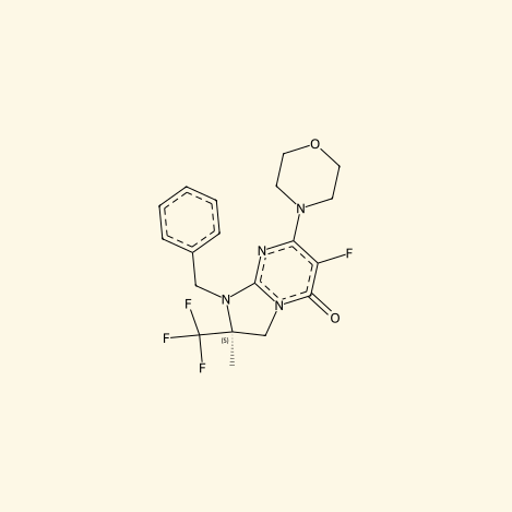 C[C@@]1(C(F)(F)F)Cn2c(nc(N3CCOCC3)c(F)c2=O)N1Cc1ccccc1